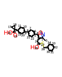 Cc1noc(-c2ccc(-c3ccc(C4(C(=O)O)CC4)cc3)cc2)c1C[C@@H](O)SCc1ccccc1